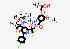 COc1cc(C(=O)NCC(O)(c2cc3c(c(-c4ccc(F)cc4)n2)OCC3(C)N[S+]([O-])C(C)(C)C)C(F)(F)F)ccc1OCC(C)O